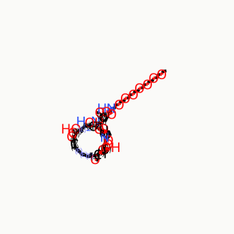 CCOCCOCCOCCOCCOCCOCCOCCNC(=O)O[C@@H]1CC[C@@H](C[C@@H](N)[C@@H]2C[C@@H](O)[C@H](C)/C=C(\C)[C@@H](O)[C@@H](OC)C(=O)[C@H](C)C[C@H](C)/C=C/C=C/C=C(\C)[C@@H](OC)C[C@@H]3CC[C@@H](C)[C@@](O)(O3)C(=O)C(=O)N3CCCC[C@H]3C(=O)O2)C[C@H]1OC